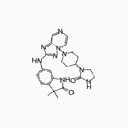 CC1(C)C(=O)Nc2cc(NC3=N[N+]4(N5CCC(N6CCNC6=O)CC5)C=CN=CC4=N3)ccc21